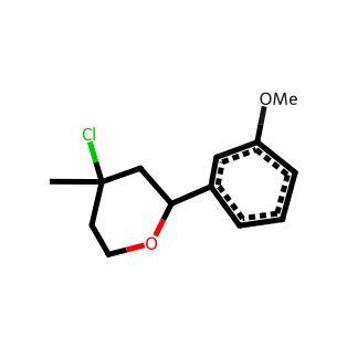 COc1cccc(C2CC(C)(Cl)CCO2)c1